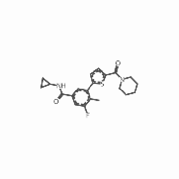 Cc1c(F)cc(C(=O)NC2CC2)cc1-c1ccc(C(=O)N2CCCCC2)s1